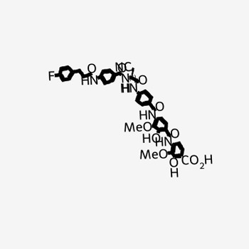 COc1c(NC(=O)c2ccc(NC(=O)c3ccc(NC(=O)[C@H](CC#N)NC(=O)c4ccc(NC(=O)CCc5ccc(F)cc5)cc4)cc3)c(OC)c2O)ccc(C(=O)O)c1O